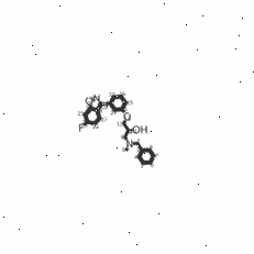 CN(Cc1ccccc1)C[C@H](O)COc1cccc(-c2noc3cc(F)ccc23)c1